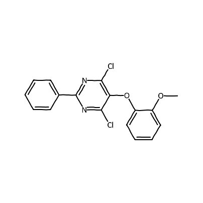 COc1ccccc1Oc1c(Cl)nc(-c2ccccc2)nc1Cl